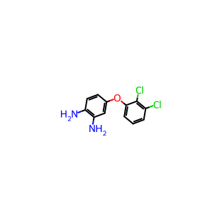 Nc1ccc(Oc2cccc(Cl)c2Cl)cc1N